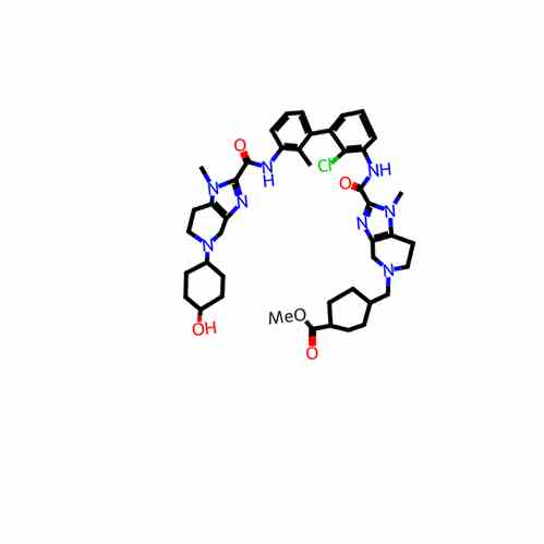 COC(=O)C1CCC(CN2CCc3c(nc(C(=O)Nc4cccc(-c5cccc(NC(=O)c6nc7c(n6C)CCN(C6CCC(O)CC6)C7)c5C)c4Cl)n3C)C2)CC1